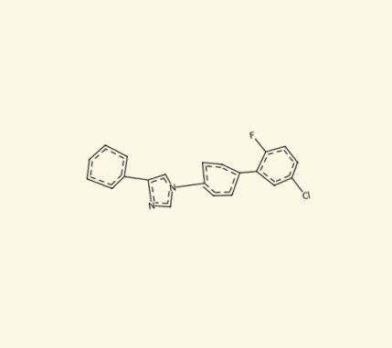 Fc1ccc(Cl)cc1-c1ccc(-n2cnc(-c3ccccc3)c2)cc1